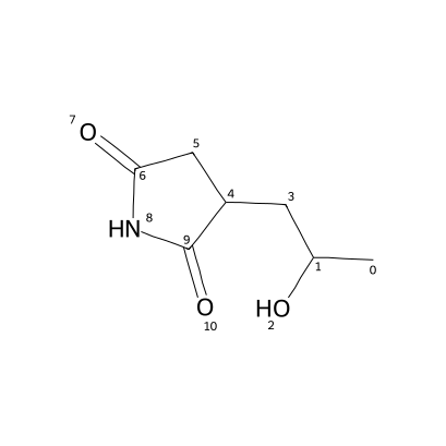 CC(O)CC1CC(=O)NC1=O